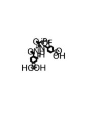 CC(C)C(=O)[C@H](CNC(=O)c1ccc(B(O)O)cc1F)NC(=O)c1ccc(S(=O)O)cc1F